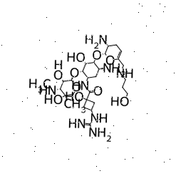 CN[C@@H]1[C@@H](O)[C@@H](O[C@H]2[C@H](NC(=O)C3(O)CC(NC(=N)N)C3)C[C@H](N)C(O[C@H]3OC(CNCCCO)=CC[C@H]3N)[C@@H]2O)OC[C@]1(C)O